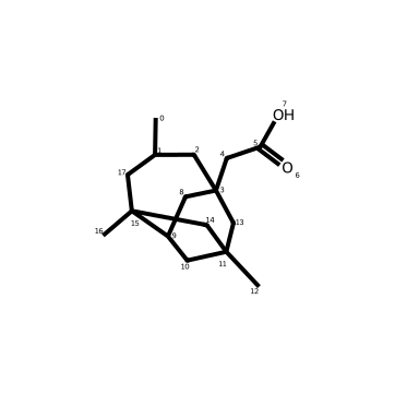 CC1CC2(CC(=O)O)CC3CC(C)(C2)CC3(C)C1